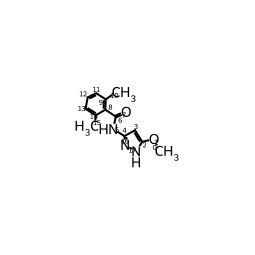 COc1cc(NC(=O)c2c(C)cccc2C)n[nH]1